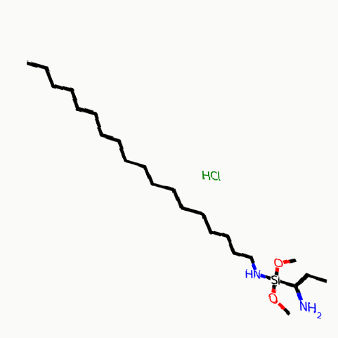 CCCCCCCCCCCCCCCCCCN[Si](OC)(OC)C(N)CC.Cl